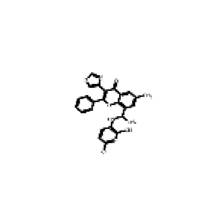 Cc1cc(C(C)Nc2ccc(Cl)nc2C#N)c2oc(-c3ccccc3)c(-c3cocn3)c(=O)c2c1